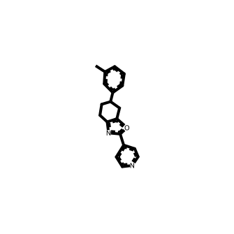 Cc1cccc(C2CCc3nc(-c4ccncc4)oc3C2)c1